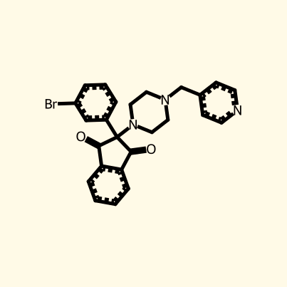 O=C1c2ccccc2C(=O)C1(c1cccc(Br)c1)N1CCN(Cc2ccncc2)CC1